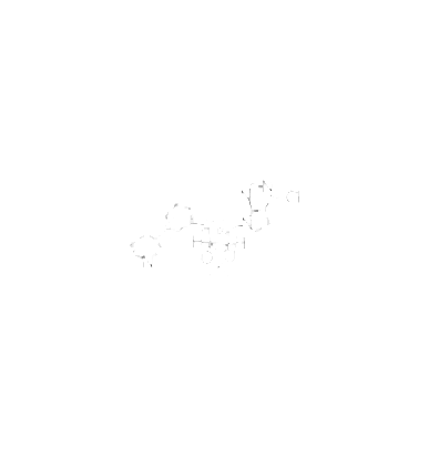 CC1(C)O[C@@H]2[C@H](O1)[C@@H](c1cccc(-c3cccnc3)c1)C[C@H]2n1ccc2c(Cl)ncnc21